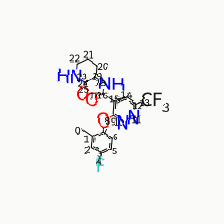 Cc1cc(F)ccc1Oc1nnc(C(F)(F)F)cc1C(=O)NC1CCCNC1=O